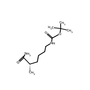 C[C@@H](CCCCNC(=O)OC(C)(C)C)C(N)=O